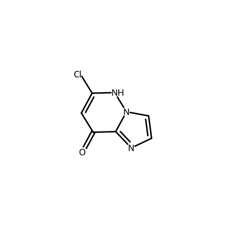 O=c1cc(Cl)[nH]n2ccnc12